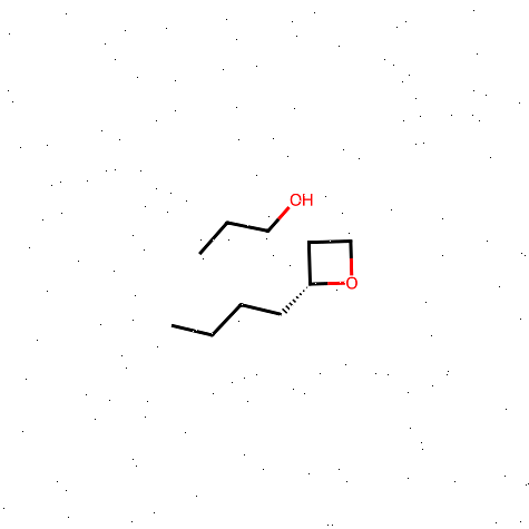 CCCC[C@@H]1CCO1.CCCO